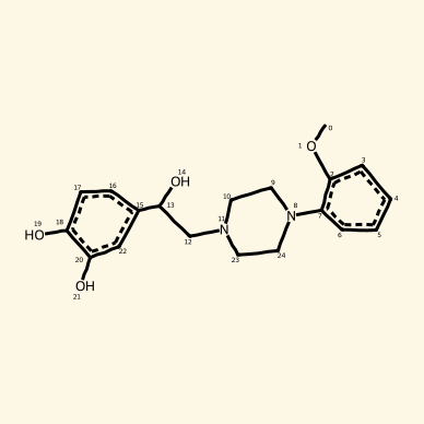 COc1ccccc1N1CCN(CC(O)c2ccc(O)c(O)c2)CC1